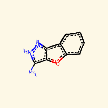 Nc1[nH]nc2c1oc1ccccc12